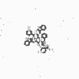 NC(=O)C1(NC(=O)[C@H](Cc2ccccc2)NC(=O)[C@@H](Cc2c[nH]c3ccccc23)NC(=O)[C@@H](Cc2csc3ccccc23)NC(=O)C2CCCNC2)CCNCC1